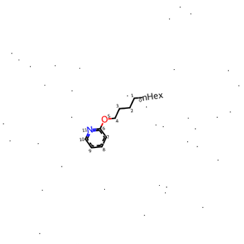 CCCCCCCCCCOc1ccccn1